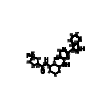 O=C(N[C@@H]1CCC[C@H](Nc2nc(-c3n[nH]c4ncccc34)ncc2F)C1)C1CCC(F)(F)C1